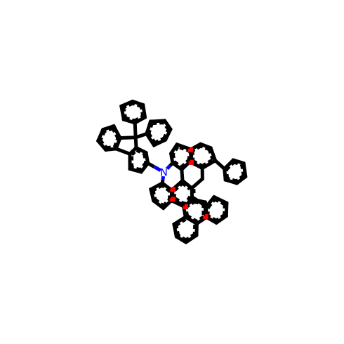 c1ccc(-c2ccccc2Cc2c(-c3ccccc3)cccc2-c2ccccc2N(c2cccc(-c3cccc4ccccc34)c2)c2ccc3c(c2)C(c2ccccc2)(c2ccccc2)c2ccccc2-3)cc1